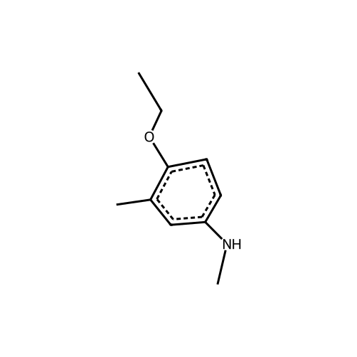 CCOc1ccc(NC)cc1C